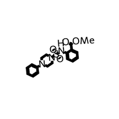 COC(=O)c1ccccc1NS(=O)(=O)N1CCN(c2ccccc2)CC1